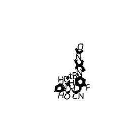 CC(C)(C)OC(=O)N1[C@@H]2CC[C@@H](C2)[C@H]1C(=O)N[C@H](C#N)Cc1ccc(N2CC3CN(C4COC4)CC3C2)cc1F